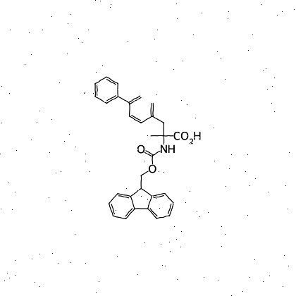 C=C(/C=C\C(=C)c1ccccc1)CC(C)(NC(=O)OCC1c2ccccc2-c2ccccc21)C(=O)O